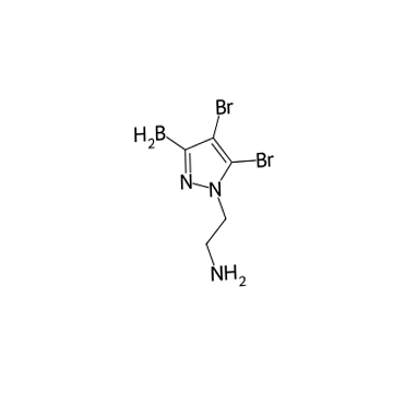 Bc1nn(CCN)c(Br)c1Br